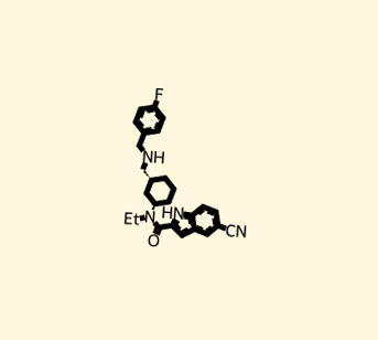 CCN(C(=O)c1cc2cc(C#N)ccc2[nH]1)[C@H]1CCC[C@@H](CNCc2ccc(F)cc2)C1